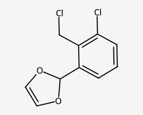 ClCc1c(Cl)cccc1C1OC=CO1